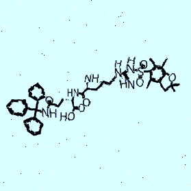 Cc1c(C)c(S(=O)(=O)NC(=N)NCCC[C@H](N)C(=O)N[C@@H](CCC(=O)NC(c2ccccc2)(c2ccccc2)c2ccccc2)C(=O)O)c(C)c2c1OC(C)(C)C2